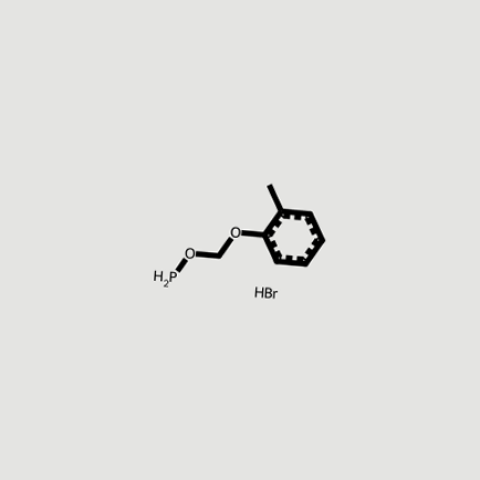 Br.Cc1ccccc1OCOP